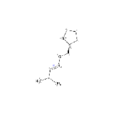 CC(C)/C=N/OC[C@@H]1CCCN1